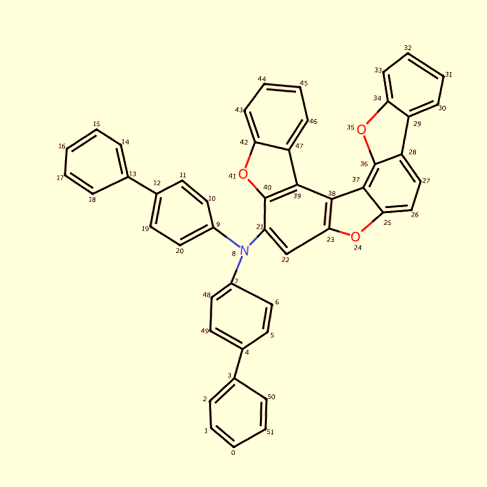 c1ccc(-c2ccc(N(c3ccc(-c4ccccc4)cc3)c3cc4oc5ccc6c7ccccc7oc6c5c4c4c3oc3ccccc34)cc2)cc1